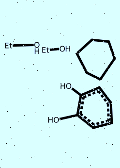 C1CCCCC1.CCO.CCO.Oc1ccccc1O